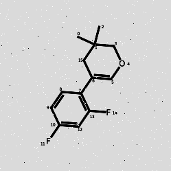 CC1(C)COC=C(c2ccc(F)cc2F)C1